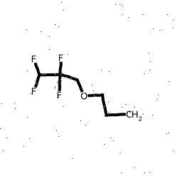 [CH2]CCOCC(F)(F)C(F)F